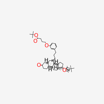 CC(C)(C)OC(=O)CCCOc1cccc(CCC[C@@H]2C[C@H]3CC(=O)CC[C@]3(C)[C@H]3CC[C@]4(C)[C@@H](O[Si](C)(C)C(C)(C)C)CC[C@H]4[C@H]23)c1